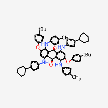 Cc1ccc(Nc2c(Oc3ccc(C(C)(C)C)cc3)cc(Nc3ccc(C4CCCCC4)cc3)c3c2C(=O)c2c(Nc4ccc(C5CCCCC5)cc4)cc(Oc4ccc(C(C)(C)C)cc4)c(Nc4ccc(C)cc4)c2C3=O)cc1